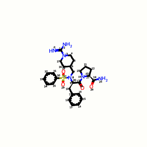 N=C(N)N1CCC(CN([C@H](Cc2ccccc2)C(=O)N2CCC[C@H]2C(N)=O)S(=O)(=O)c2ccccc2)CC1